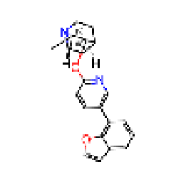 C[C@H]1[C@H](Oc2ccc(-c3cccc4ccoc34)cn2)C2CCN1CC2